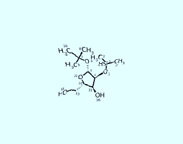 C[SiH](C)O[C@@H]1[C@@H](OC(C)(C)C)O[C@@H](CO)[C@@H]1O